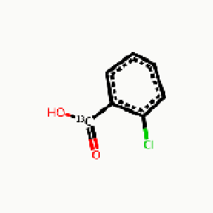 O=[13C](O)c1ccccc1Cl